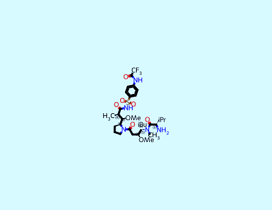 CC[C@H](C)[C@@H]([C@H](CC(=O)N1CCC[C@H]1[C@H](OC)[C@@H](C)C(=O)NS(=O)(=O)c1ccc(NC(=O)C(F)(F)F)cc1)OC)N(C)C(=O)[C@@H](N)C(C)C